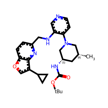 C[C@@H]1C[C@H](NC(=O)OC(C)(C)C)CN(c2ccncc2NCc2ccc3occ(C4CC4)c3n2)C1